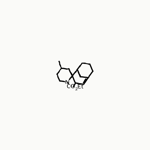 CCOC(=O)N1CCC(C)CC12C(C)C=C1CCCC2C1